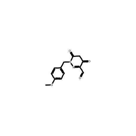 COc1ccc(CN2N=C(C=O)C(=O)CC2=O)cc1